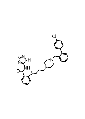 O=C(Nc1nnn[nH]1)c1ccccc1SCCCN1CCN(Cc2ccccc2-c2ccc(Cl)cc2)CC1